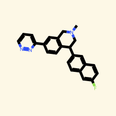 CN1Cc2cc(-c3cccnn3)ccc2C(c2ccc3cc(F)ccc3c2)C1